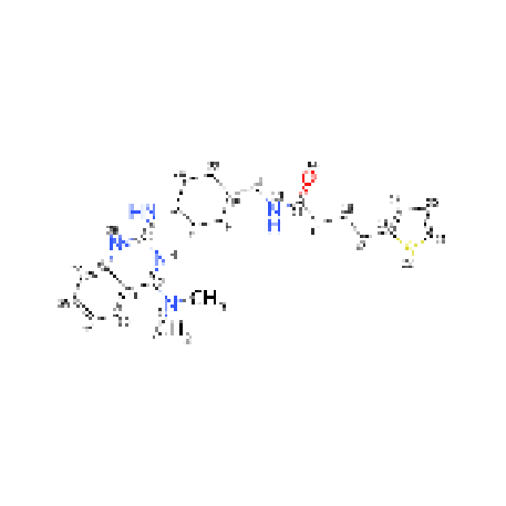 CN(C)c1nc(N[C@H]2CC[C@@H](CNC(=O)CCCc3cccs3)CC2)nc2ccccc12